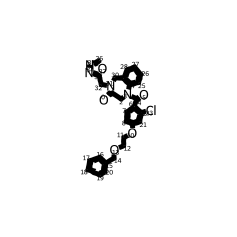 O=C1CN(C(=O)c2ccc(OCCOCc3ccccc3)cc2Cl)c2ccccc2CN1Cc1nnco1